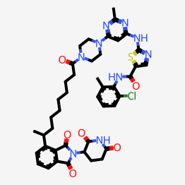 Cc1nc(Nc2ncc(C(=O)Nc3c(C)cccc3Cl)s2)cc(N2CCN(C(=O)CCCCCCCC(C)c3cccc4c3C(=O)N(C3CCC(=O)NC3=O)C4=O)CC2)n1